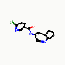 O=C(Nc1cnc2ccccc2c1)c1ccc(Cl)nc1